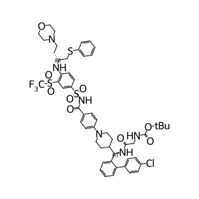 CC(C)(C)OC(=O)NCC(=O)N[C@@H](c1ccccc1-c1ccc(Cl)cc1)C1CCN(c2ccc(C(=O)NS(=O)(=O)c3ccc(N[C@H](CCN4CCOCC4)CSc4ccccc4)c(S(=O)(=O)C(F)(F)F)c3)cc2)CC1